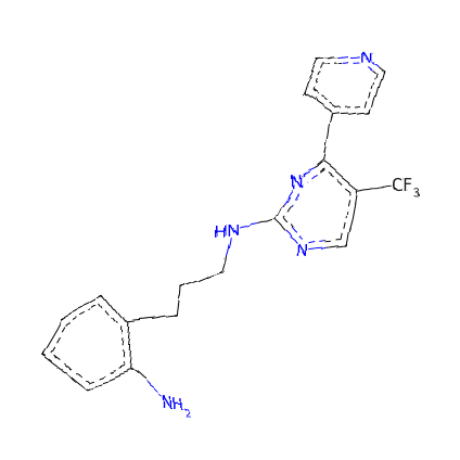 Nc1ccccc1CCCNc1ncc(C(F)(F)F)c(-c2ccncc2)n1